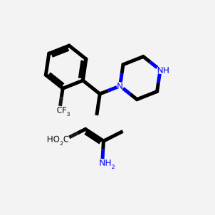 CC(N)=CC(=O)O.CC(c1ccccc1C(F)(F)F)N1CCNCC1